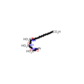 CC(C)C(=O)CC[C@H](NC(=O)CC[C@H](NC(=O)CC[C@H](NC(=O)CCCCCCCCCCCCCCCCCCC(=O)O)C(=O)O)C(=O)O)C(=O)O